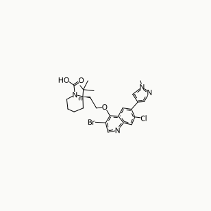 Cn1cc(-c2cc3c(OCC[C@@]4(C(C)(C)C)CCCCN4C(=O)O)c(Br)cnc3cc2Cl)cn1